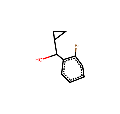 OC(c1ccccc1Br)C1CC1